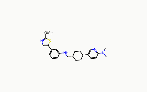 COc1ncc(-c2cccc(NC[C@H]3CC[C@H](c4ccc(N(C)C)nc4)CC3)c2)s1